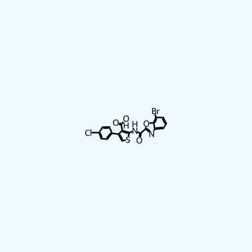 O=C(Nc1scc(-c2ccc(Cl)cc2)c1C(=O)O)c1nc2cccc(Br)c2o1